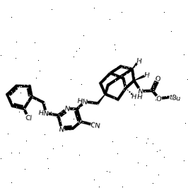 CC(C)(C)OC(=O)N[C@@H]1[C@@H]2CC3C[C@H]1C[C@@](CNc1nc(NCc4ccccc4Cl)ncc1C#N)(C3)C2